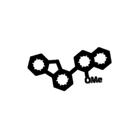 COc1c(-c2cccc3c2Cc2ccccc2-3)ccc2ccccc12